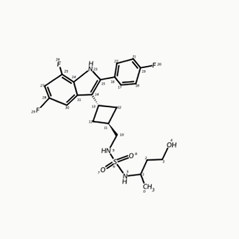 CC(CCO)NS(=O)(=O)NC[C@H]1C[C@H](c2c(-c3ccc(F)cc3)[nH]c3c(F)cc(F)cc32)C1